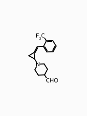 O=CC1CCN(C2CC2=Cc2ccccc2C(F)(F)F)CC1